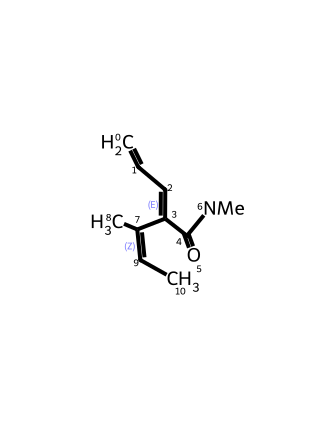 C=C/C=C(C(=O)NC)\C(C)=C/C